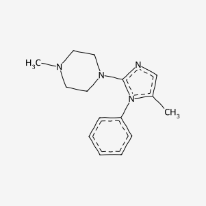 Cc1cnc(N2CCN(C)CC2)n1-c1ccccc1